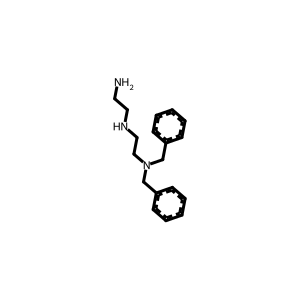 NCCNCCN(Cc1ccccc1)Cc1ccccc1